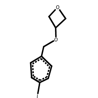 Ic1ccc(COC2COC2)cc1